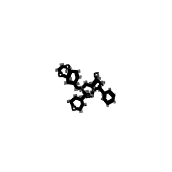 CCCCn1c(-c2ccccc2)nc(Cl)c1CN(Cc1ccc2c(c1)OCCO2)CC1CCOCC1